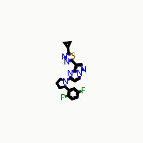 Fc1ccc(F)c(C2CCCN2c2ccn3ncc(-c4nnc(C5CC5)s4)c3n2)c1